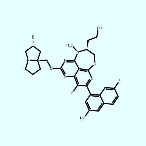 CN1c2nc(OC[C@@]34CCCN3C[C@H](F)C4)nc3c(F)c(-c4cc(O)cc5ccc(F)cc45)nc(c23)OC[C@@H]1CCO